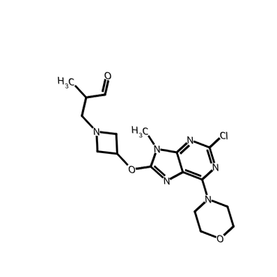 CC(C=O)CN1CC(Oc2nc3c(N4CCOCC4)nc(Cl)nc3n2C)C1